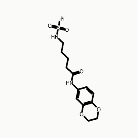 CC(C)S(=O)(=O)NCCCCC(=O)Nc1ccc2c(c1)OCCO2